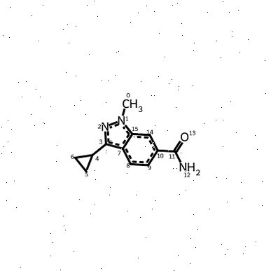 Cn1nc(C2CC2)c2ccc(C(N)=O)cc21